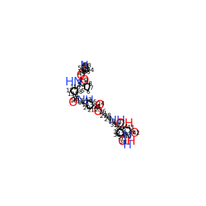 O=C(NC(c1ccccc1)c1cccc(C(=O)NCc2ccc(C(=O)OCCCCNCC(O)c3ccc(O)c4[nH]c(=O)ccc34)cc2)c1)OC1CN2CCC1CC2